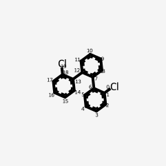 Clc1ccccc1-c1[c]cccc1-c1ccccc1Cl